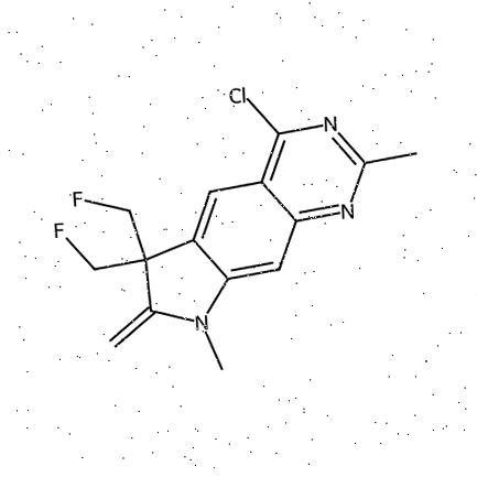 C=C1N(C)c2cc3nc(C)nc(Cl)c3cc2C1(CF)CF